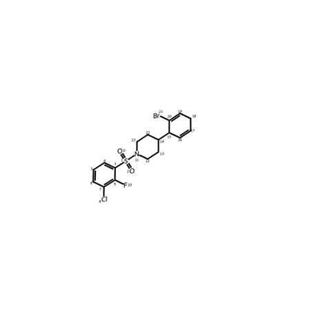 O=S(=O)(c1cccc(Cl)c1F)N1CCC(C2C=CCC=C2Br)CC1